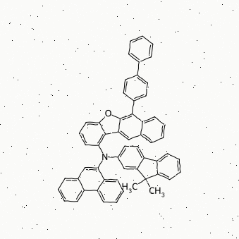 CC1(C)c2ccccc2-c2ccc(N(c3cc4ccccc4c4ccccc34)c3cccc4oc5c(-c6ccc(-c7ccccc7)cc6)c6ccccc6cc5c34)cc21